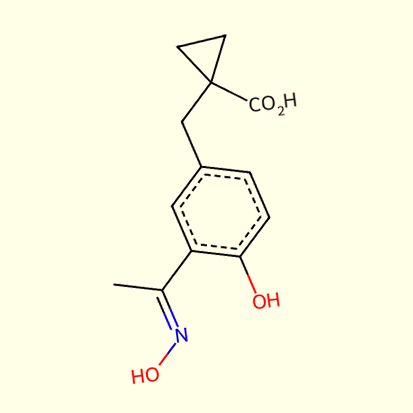 CC(=NO)c1cc(CC2(C(=O)O)CC2)ccc1O